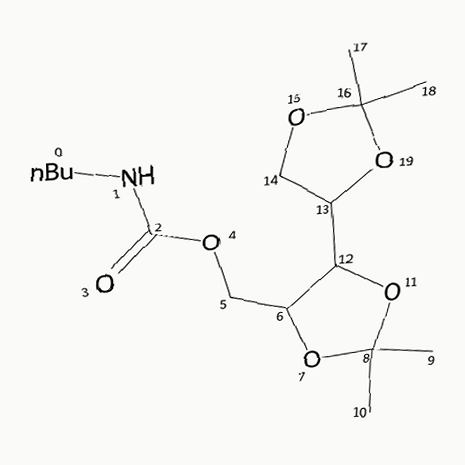 CCCCNC(=O)OCC1OC(C)(C)OC1C1COC(C)(C)O1